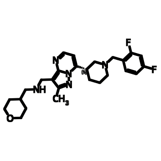 Cc1nn2c([C@H]3CCCN(Cc4ccc(F)cc4F)C3)ccnc2c1CNCC1CCOCC1